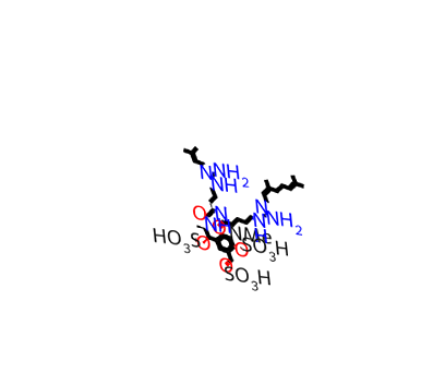 CN[C@@H](CCCNC(N)=NC/C=C(/C)CCC=C(C)C)C(=O)N(C)[C@@H](CCCNC(N)=NCC=C(C)C)C(=O)N[C@H](C)[C@H](OS(=O)(=O)O)c1ccc(OS(=O)(=O)O)c(COS(=O)(=O)O)c1